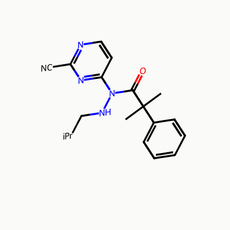 CC(C)CNN(C(=O)C(C)(C)c1ccccc1)c1ccnc(C#N)n1